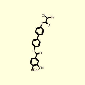 CCCCCCCCCCc1ccc(C(=O)Oc2ccc(-c3ccc(OC(=O)C(Cl)C(C)C)cc3)cc2)cc1C#N